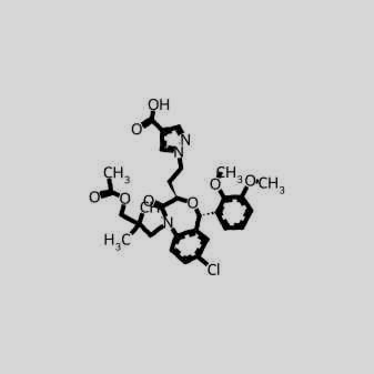 COc1cccc([C@H]2O[C@H](CCn3cc(C(=O)O)cn3)C(=O)N(CC(C)(C)COC(C)=O)c3ccc(Cl)cc32)c1OC